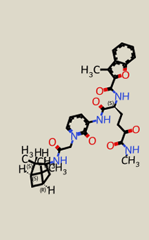 CNC(=O)C(=O)CC[C@H](NC(=O)c1oc2ccccc2c1C)C(=O)Nc1cccn(CC(=O)N[C@H]2C[C@H]3C[C@@H]([C@@H]2C)C3(C)C)c1=O